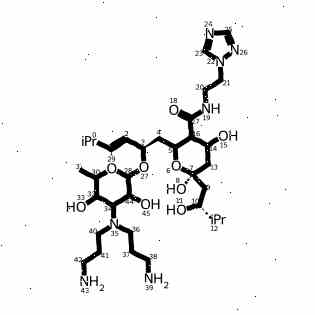 CC(C)/C=C/[C@@H](CC1O[C@](O)(C[C@@H](O)C(C)C)CC(O)C1C(=O)NCCn1cncn1)OC1OC(C)C(O)C(N(CCCN)CCCN)C1O